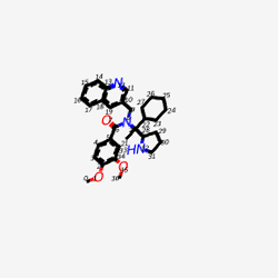 COc1ccc(C(=O)N(Cc2cnc3ccccc3c2)C(C)(C2CCCCC2)C2CCCN2)cc1OC